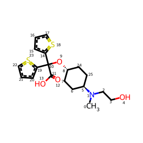 CN(CCO)[C@H]1CC[C@H](OC(C(=O)O)(c2cccs2)c2cccs2)CC1